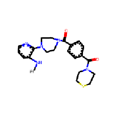 CC(C)Nc1cccnc1N1CCN(C(=O)c2ccc(C(=O)N3CCSCC3)cc2)CC1